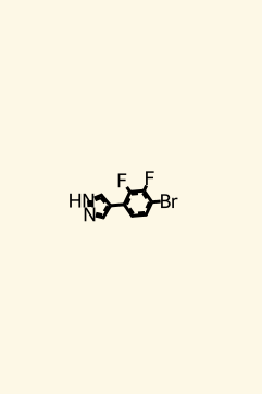 Fc1c(Br)ccc(-c2cn[nH]c2)c1F